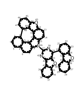 c1cc2c3c(c1)ccc1c3c3c4c(ccc3n1-c1nc(-c3cccc5oc6ccccc6c35)c3oc5ccccc5c3n1)oc1cccc-2c14